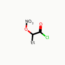 CCC(O[N+](=O)[O-])C(=O)Cl